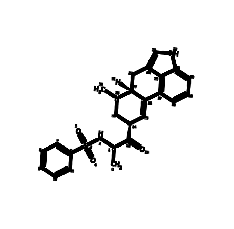 CN(NS(=O)(=O)c1ccccc1)C(=O)[C@@H]1C=C2c3cccc4[nH]cc(c34)C[C@H]2N(C)C1